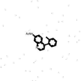 CC(=O)Nc1ccc2c(-c3ccccc3C)ccnc2c1